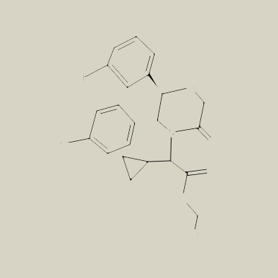 CCOC(=O)C(C1CC1)N1C(=O)CO[C@H](c2cccc(Cl)c2)[C@H]1c1ccc(Cl)cc1